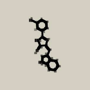 CCc1cccc(C2=NC(=Cc3c[nH]c4ccccc34)C(=O)N2)c1